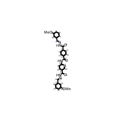 COc1cccc(/C=N/NC(=O)c2ccc(C(=O)Nc3ccc(C(=O)N/N=C/c4cccc(OC)c4)cn3)cc2)c1